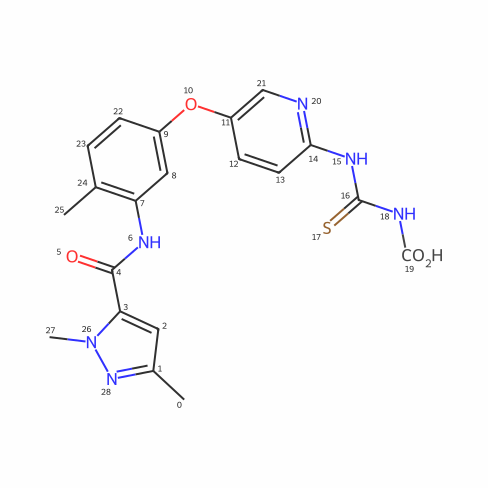 Cc1cc(C(=O)Nc2cc(Oc3ccc(NC(=S)NC(=O)O)nc3)ccc2C)n(C)n1